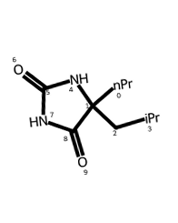 CCCC1(CC(C)C)NC(=O)NC1=O